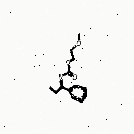 CC/C(=N/C(=O)OCCOC)c1ccccc1